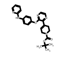 CC(C)(C)OC(=O)N1CC=C(c2nccnc2Oc2ccc(Nc3ccccn3)cc2)CC1